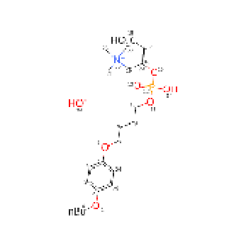 CCCCOc1ccc(OCCCCOP(=O)(O)O[C@H](CC(=O)O)C[N+](C)(C)C)cc1.[OH-]